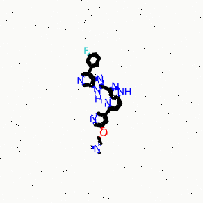 CN(C)CCOc1cncc(-c2ccc3[nH]nc(-c4nc5c(-c6cccc(F)c6)cncc5[nH]4)c3n2)c1